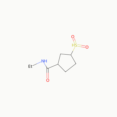 CCNC(=O)C1CCC([SH](=O)=O)C1